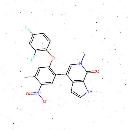 Cc1cc(Oc2ccc(F)cc2F)c(-c2cn(C)c(=O)c3[nH]ccc23)cc1[N+](=O)[O-]